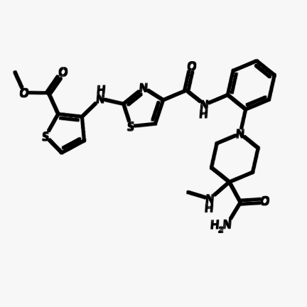 CNC1(C(N)=O)CCN(c2ccccc2NC(=O)c2csc(Nc3ccsc3C(=O)OC)n2)CC1